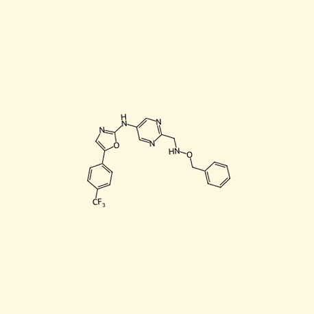 FC(F)(F)c1ccc(-c2cnc(Nc3cnc(CNOCc4ccccc4)nc3)o2)cc1